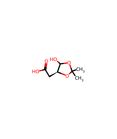 CC1(C)OC(O)[C@H](CC(=O)O)O1